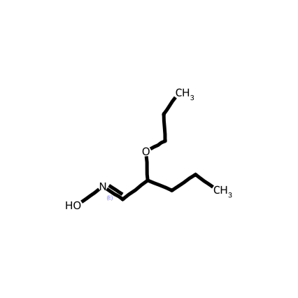 CCCOC(/C=N/O)CCC